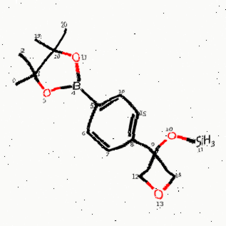 CC1(C)OB(c2ccc(C3(O[SiH3])COC3)cc2)OC1(C)C